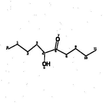 [CH2]CCCC(O)C(=O)CCCC